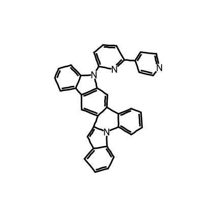 c1cc(-c2ccncc2)nc(-n2c3ccccc3c3cc4c(cc32)c2ccccc2n2c3ccccc3cc42)c1